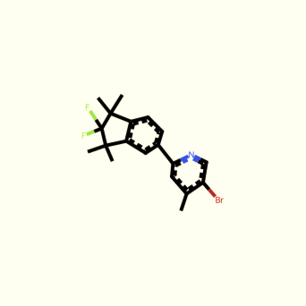 Cc1cc(-c2ccc3c(c2)C(C)(C)C(F)(F)C3(C)C)ncc1Br